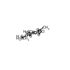 CCCCn1c(Cl)cc(=O)n(C2CCC3(CC2)CC(N2C(=O)N(COCC[Si](C)(C)C)C(=O)C2(C)C)C3)c1=O